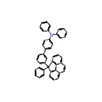 c1ccc(N(c2ccccc2)c2ccc(-c3cccc(C4(c5ccccc5)c5cccc6ccc7cccc4c7c56)c3)cc2)cc1